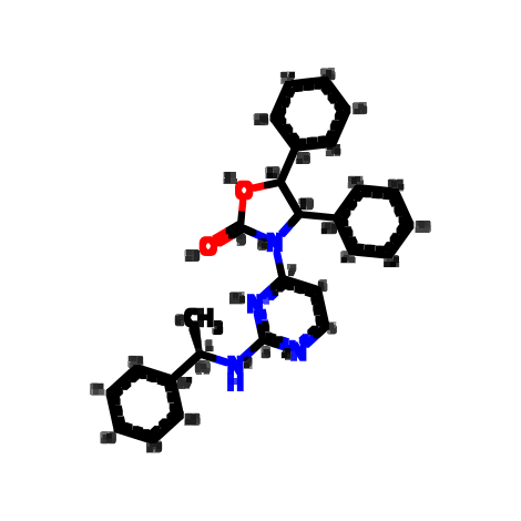 C[C@@H](Nc1nccc(N2C(=O)OC(c3ccccc3)C2c2ccccc2)n1)c1ccccc1